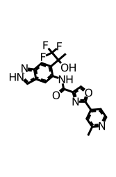 Cc1cc(-c2nc(C(=O)Nc3cc4c[nH]nc4cc3C(C)(O)C(F)(F)F)co2)ccn1